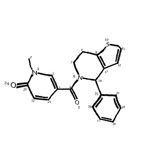 Cn1cc(C(=O)N2CCc3sccc3C2c2ccccc2)ccc1=O